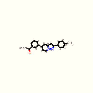 CNC(=O)c1cccc(-c2ccn3nc(-c4ccc(C)cc4)cc3c2)c1